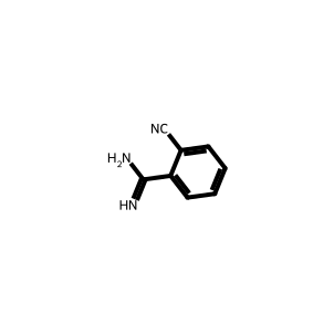 N#Cc1ccccc1C(=N)N